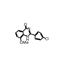 COc1cccc2c(=O)nc(-c3ccc(Cl)cc3)[nH]c12